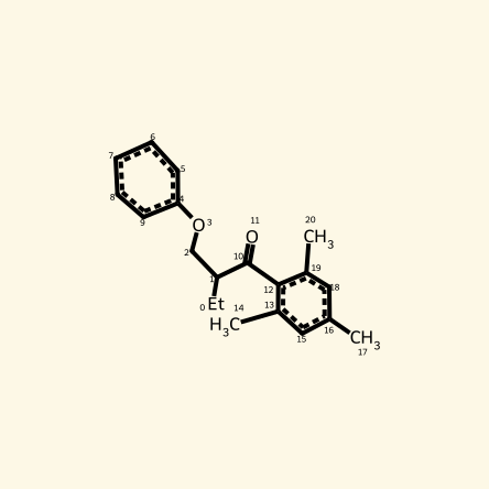 CCC(COc1cc[c]cc1)C(=O)c1c(C)cc(C)cc1C